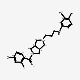 Cc1ccc(NCCCN2CC3CN(C(=O)c4ccc(Cl)cc4C)CC3C2)cc1Cl